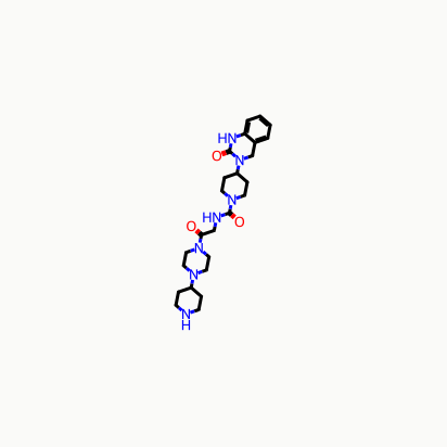 O=C(CNC(=O)N1CCC(N2Cc3ccccc3NC2=O)CC1)N1CCN(C2CCNCC2)CC1